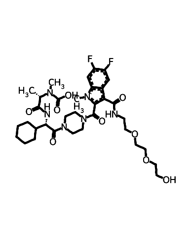 C[C@@H](C(=O)N[C@H](C(=O)N1CCN(C(=O)c2c(C(=O)NCCOCCOCCO)c3cc(F)c(F)cc3n2C)CC1)C1CCCCC1)N(C)C(=O)O